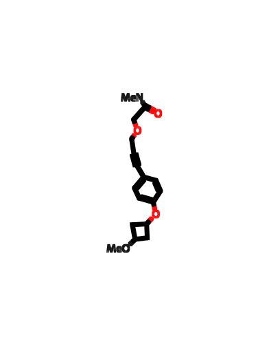 CNC(=O)COCC#Cc1ccc(OC2CC(OC)C2)cc1